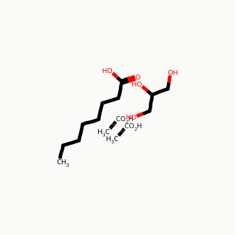 CC(=O)O.CC(=O)O.CCCCCCCC(=O)O.OCC(O)CO